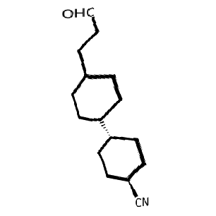 N#C[C@H]1CC[C@H](C2CCC(CCC=O)CC2)CC1